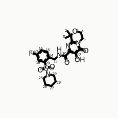 CC1(C)OCCn2c1nc(C(=O)NCc1ccc(F)cc1S(=O)(=O)N1CCCCC1)c(O)c2=O